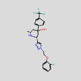 C[C@H]1CC(O)(c2ccc(C(F)(F)F)cc2)C[C@@H](c2cn(CCOc3ccccc3F)nn2)N1